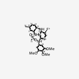 COc1cc(Nc2ncc(F)c(Nc3ccc(C)cc3NS(C)(=O)=O)n2)cc(OC)c1OC